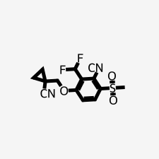 CS(=O)(=O)c1ccc(OCC2(C#N)CC2)c(C(F)F)c1C#N